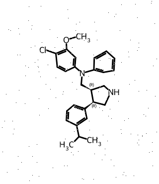 COc1cc(N(C[C@H]2CNC[C@H]2c2cccc(C(C)C)c2)c2ccccc2)ccc1Cl